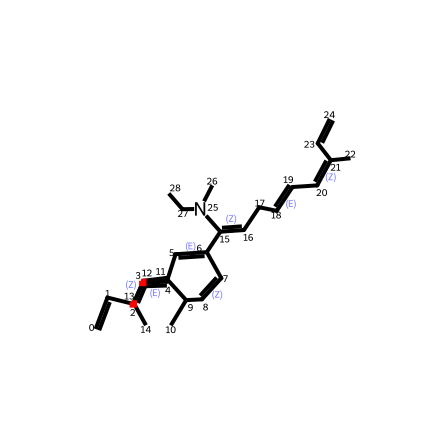 C=CC/C=C/C=C(\C=C/C(C)C/C=C\C)C(=C/C/C=C/C=C(/C)C=C)/N(C)CC